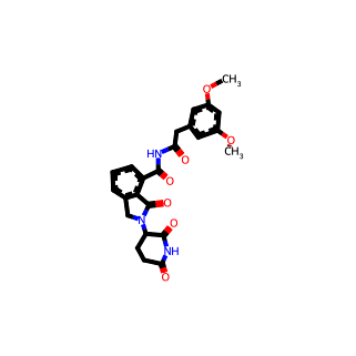 COc1cc(CC(=O)NC(=O)c2cccc3c2C(=O)N(C2CCC(=O)NC2=O)C3)cc(OC)c1